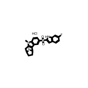 Cl.Cn1c2c(c3cc(S(=O)(=O)c4cc5ccc(F)cc5[nH]4)ccc31)C1CCC(C2)N1